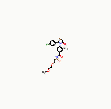 COCCOCC[S+]([O-])NC(=O)c1ccc(N2C(=O)CSC2c2ccc(F)cc2)c(C)c1